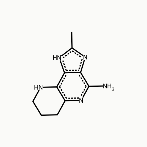 Cc1nc2c(N)nc3c(c2[nH]1)NCCC3